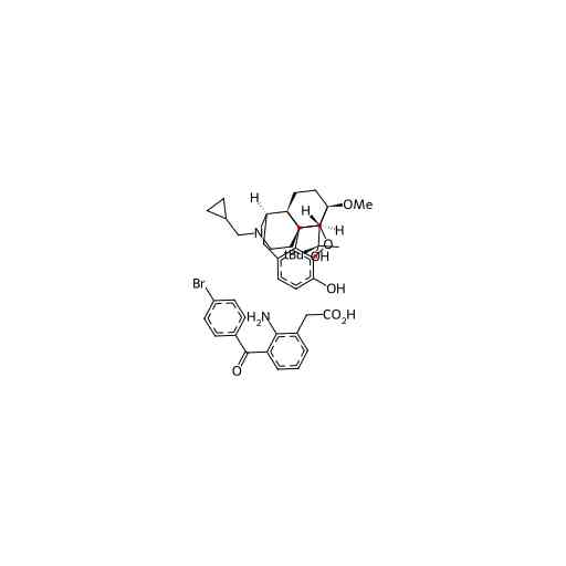 CO[C@]12CC[C@@]3(C[C@@H]1[C@](C)(O)C(C)(C)C)[C@H]1Cc4ccc(O)c5c4[C@@]3(CCN1CC1CC1)[C@H]2O5.Nc1c(CC(=O)O)cccc1C(=O)c1ccc(Br)cc1